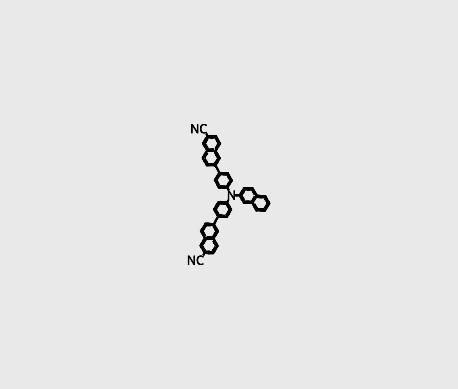 N#Cc1ccc2cc(-c3ccc(N(c4ccc(-c5ccc6cc(C#N)ccc6c5)cc4)c4ccc5ccccc5c4)cc3)ccc2c1